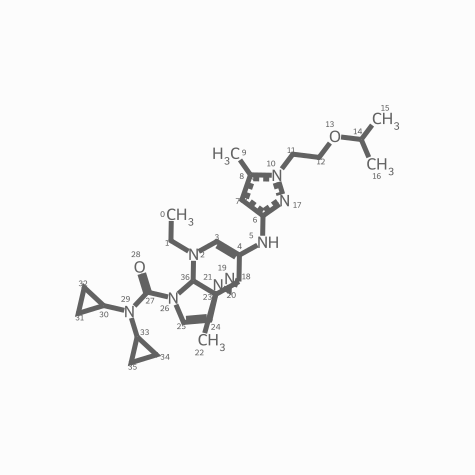 CCN1C=C(Nc2cc(C)n(CCOC(C)C)n2)C2=NCN(C)C23C=CN(C(=O)N(C2CC2)C2CC2)C13